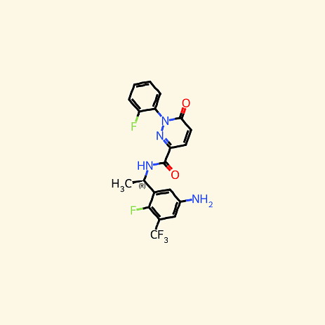 C[C@@H](NC(=O)c1ccc(=O)n(-c2ccccc2F)n1)c1cc(N)cc(C(F)(F)F)c1F